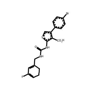 O=C(NCC1=CC(F)=CCC1)Nc1scc(-c2ccc(Br)cc2)c1C(=O)O